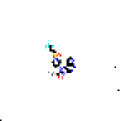 C[C@@H](O)C1N=c2cnc3c(c2N1[C@H]1CCN(S(=O)(=O)CCC(F)(F)F)C1)C=CN=3